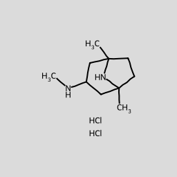 CNC1CC2(C)CCC(C)(C1)N2.Cl.Cl